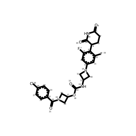 O=C1CCC(c2c(F)cc(N3CC(NC(=O)OC4CN(C(=O)c5ccc(Cl)cc5)C4)C3)cc2F)C(=O)N1